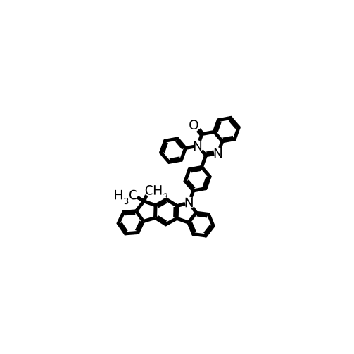 CC1(C)c2ccccc2-c2cc3c4ccccc4n(-c4ccc(-c5nc6ccccc6c(=O)n5-c5ccccc5)cc4)c3cc21